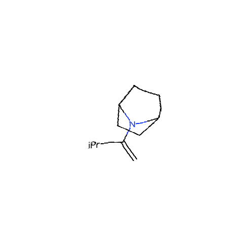 C=C(C(C)C)N1C2CCC1CC2